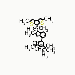 CC1=Cc2c(-c3cc(C(C)(C)C)cc(C(C)(C)C)c3)cccc2C1[Si](C)(C)C1c2sc(C)cc2-c2cc(C)sc21